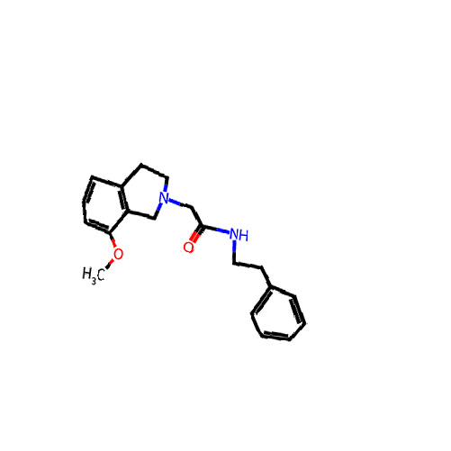 COc1cccc2c1CN(CC(=O)NCCc1ccccc1)CC2